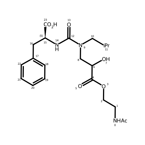 CC(=O)NCCOC(=O)C(O)CN(CC(C)C)C(=O)N[C@@H](Cc1ccccc1)C(=O)O